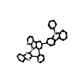 c1ccc(-n2c3ccccc3c3ccc(-c4cc5c6c(c4)c4cccnc4n6-c4nc6ccccc6nc4-c4ncccc4-5)cc32)cc1